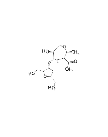 C[C@@H]1OC[C@H](O)C(O[C@H]2C[C@H](CO)OC2CO)OC1C(=O)O